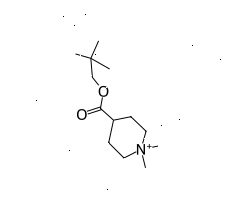 CC(C)(C)COC(=O)C1CC[N+](C)(C)CC1